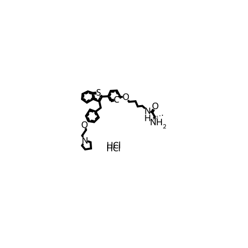 C[C@H](N)C(=O)NCCCCOc1ccc(-c2sc3ccccc3c2Cc2ccc(OCCN3CCCC3)cc2)cc1.Cl.Cl